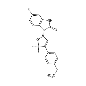 CC1(C)O/C(=C2/C(=O)Nc3cc(F)ccc32)C=C1c1ccc(CC(=O)O)cc1